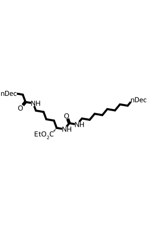 CCCCCCCCCCCCCCCCCCNC(=O)N[C@@H](CCCCNC(=O)CCCCCCCCCCC)C(=O)OCC